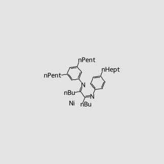 CCCCCCCc1ccc(N=C(CCCC)C(CCCC)=Nc2cc(CCCCC)cc(CCCCC)c2)cc1.[Ni]